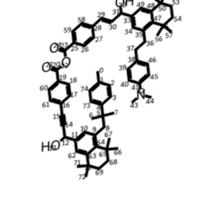 Cc1ccc(C(C)(C)Cc2cc(C(O)C#Cc3ccc(C(=O)OC(=O)c4ccc(C=CC(O)c5cc(CCc6ccc(N(C)C)cc6)c6c(c5)C(C)(C)CCC6(C)C)cc4)cc3)cc3c2C(C)(C)CCC3(C)C)cc1